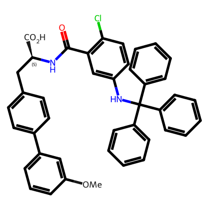 COc1cccc(-c2ccc(C[C@H](NC(=O)c3cc(NC(c4ccccc4)(c4ccccc4)c4ccccc4)ccc3Cl)C(=O)O)cc2)c1